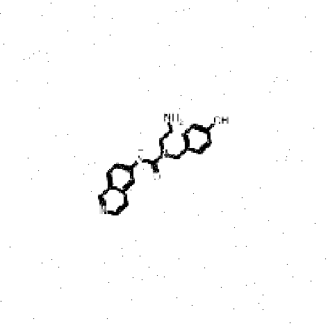 NCCN(Cc1ccc(O)cc1)C(=O)Nc1ccc2cnccc2c1